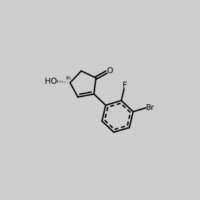 O=C1C[C@@H](O)C=C1c1cccc(Br)c1F